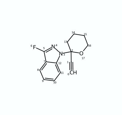 C#CC1(n2nc(F)c3ccccc32)CCCCO1